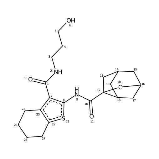 O=C(NCCCO)c1c(NC(=O)C23CC4CC(CC2C4)C3)sc2c1CCCC2